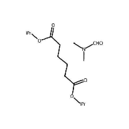 CC(C)OC(=O)CCCCC(=O)OC(C)C.CN(C)C=O